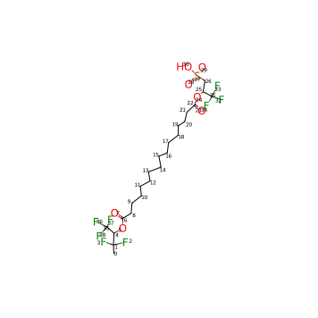 CC(F)(F)C(OC(=O)CCCCCCCCCCCCCCC(=O)OC(CS(=O)(=O)O)C(F)(F)F)C(F)(F)F